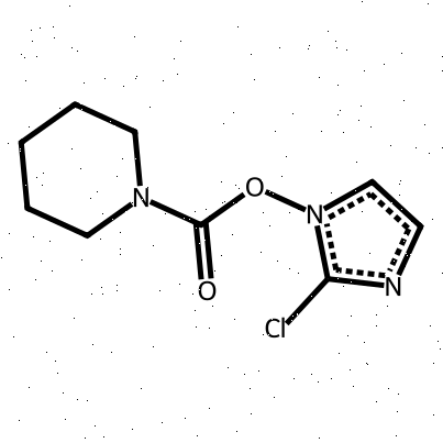 O=C(On1ccnc1Cl)N1CCCCC1